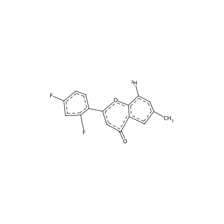 [2H]c1cc(C)cc2c(=O)cc(-c3ccc(F)cc3F)oc12